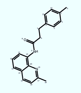 Cc1ccc(CCC(=O)Nc2cccc3ccc(C)nc23)cc1